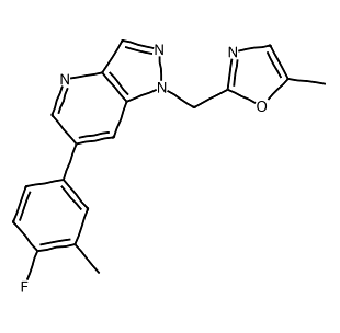 Cc1cnc(Cn2ncc3ncc(-c4ccc(F)c(C)c4)cc32)o1